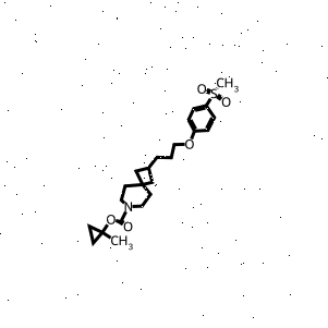 CC1(OC(=O)N2CCC3(CC2)CC(CCCOc2ccc(S(C)(=O)=O)cc2)C3)CC1